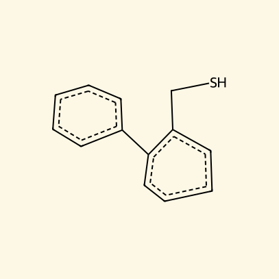 SCc1ccccc1-c1ccccc1